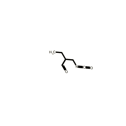 CCC(C=O)CN=C=O